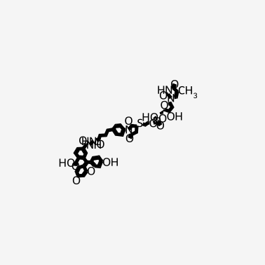 Cc1cn([C@H]2C[C@@H](O)[C@@H](COP(=O)(O)OCCSC3CC(=O)N(c4ccc(CCCC(=O)NNC(=O)c5ccc(C(=O)O)c(-c6c7ccc(=O)cc-7oc7cc(O)ccc67)c5)cc4)C3=O)O2)c(=O)[nH]c1=O